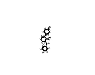 Cc1ccc(C2=CC[CH]C(Cc3ccccc3)=C2Cl)cc1